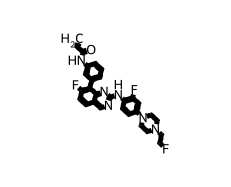 C=CC(=O)Nc1cccc(-c2c(F)ccc3cnc(Nc4ccc(N5CCN(CCF)CC5)cc4F)nc23)c1